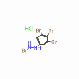 BrNNc1cc(Br)c(Br)c(Br)c1.Cl